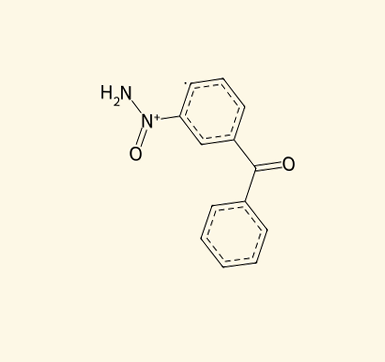 N[N+](=O)c1[c]ccc(C(=O)c2ccccc2)c1